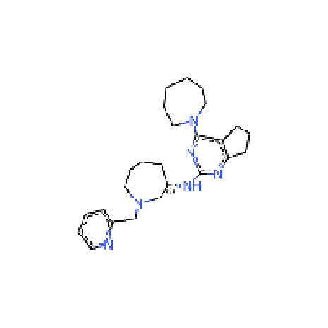 c1ccc(CN2CCCC[C@H](Nc3nc4c(c(N5CCCCCC5)n3)CCC4)C2)nc1